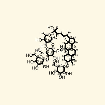 C[C@H](CC[C@@H](O[C@@H]1O[C@H](C)[C@@H](O)[C@H](O)[C@H]1O[C@H]1O[C@@H](CO)[C@H](O[C@H]2O[C@H](CO)[C@@H](O)[C@H](O)[C@H]2O)[C@@H](O)[C@@H]1O)C(C)(C)O)C1CC[C@@]2(C)C3CC=C4C(CC[C@H](O[C@@H]5O[C@H](CO)[C@@H](O)[C@H](O)[C@H]5O)C4(C)C)[C@]3(C)[C@H](O)C[C@]12C